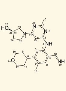 Cc1nc(Nc2cc(C3CCOCC3)c(C)cc2C=N)cc(N2CC[C@@H](O)C2)n1